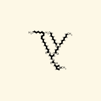 CCCCC/C=C\C/C=C\CCCCCCCC(=O)OCC(COC(=O)CCC(OCCCCCCCC)OCCCCCCCC)COC(=O)NCC1CCN(C)C1